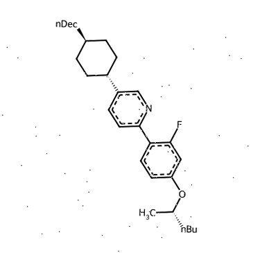 CCCCCCCCCC[C@H]1CC[C@H](c2ccc(-c3ccc(O[C@@H](C)CCCC)cc3F)nc2)CC1